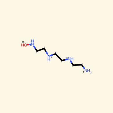 NCCNCCNCCNO